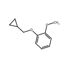 COc1cc[c]cc1OCC1CC1